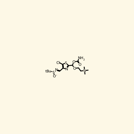 CC(C)(C)[S@+]([O-])N=Cc1nc(C(OCC[Si](C)(C)C)OC(N)=O)sc1Cl